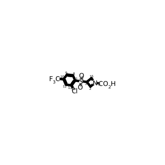 O=C(O)N1CC(S(=O)(=O)c2ccc(C(F)(F)F)cc2Cl)C1